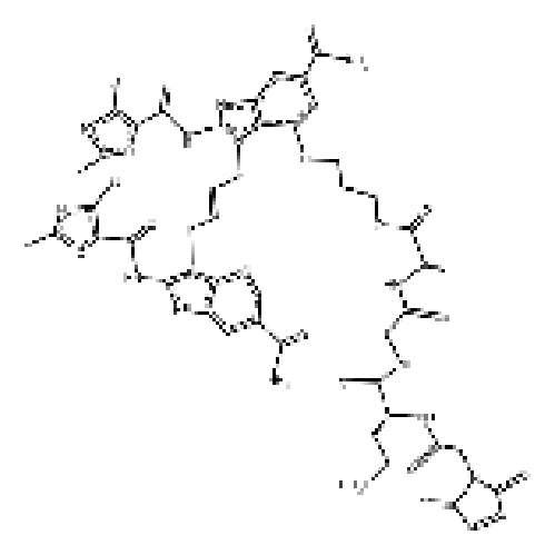 CCc1nc(C)oc1C(=O)Nc1nc2cc(C(N)=O)cnc2n1C/C=C/Cn1c(NC(=O)c2oc(C)nc2CC)nc2cc(C(N)=O)cc(OCCCOC(=O)[C@@H](C)NC(=O)CNC(=O)[C@H](CCC(=O)O)NC(=O)CN3C(=O)C=CC3=O)c21